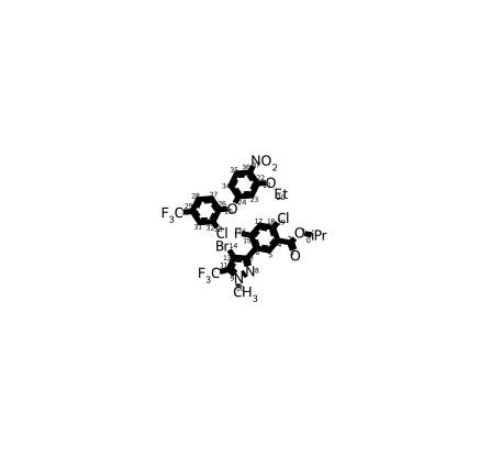 CC(C)OC(=O)c1cc(-c2nn(C)c(C(F)(F)F)c2Br)c(F)cc1Cl.CCOc1cc(Oc2ccc(C(F)(F)F)cc2Cl)ccc1[N+](=O)[O-]